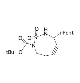 CCCCCC1C#CCCN(C(=O)OC(C)(C)C)S(=O)(=O)N1